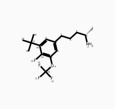 C[C@H](N)CCCc1cc(OC(F)(F)F)c(F)c(C(C)(C)C)c1